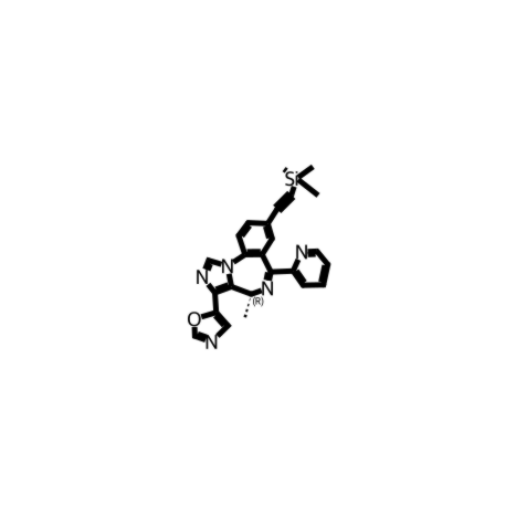 C[C@H]1N=C(c2ccccn2)c2cc(C#C[Si](C)(C)C)ccc2-n2cnc(-c3cnco3)c21